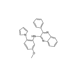 COc1ccc(-n2cccc2)c(Nc2nc3ccccc3nc2-c2ccccc2)c1